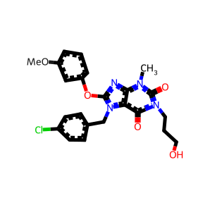 COc1cccc(Oc2nc3c(c(=O)n(CCCO)c(=O)n3C)n2Cc2ccc(Cl)cc2)c1